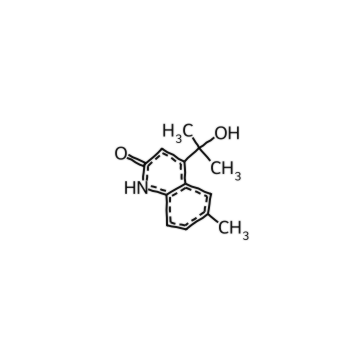 Cc1ccc2[nH]c(=O)cc(C(C)(C)O)c2c1